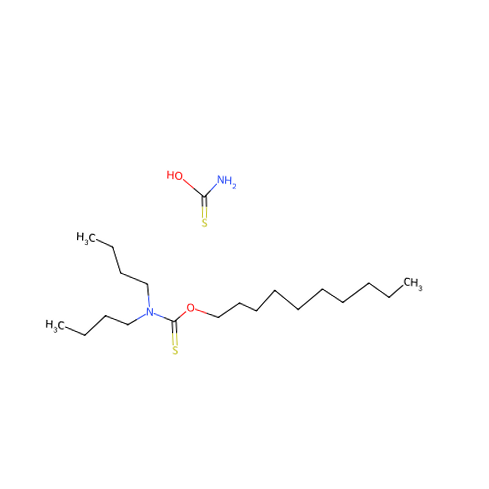 CCCCCCCCCCOC(=S)N(CCCC)CCCC.NC(O)=S